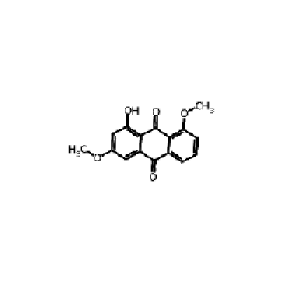 COc1cc(O)c2c(c1)C(=O)c1cccc(OC)c1C2=O